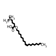 CCCCCCCC/C=C\CCCCCCCCOC(CCCN(C)C)C(=O)O